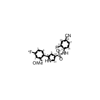 COc1cc(F)ccc1-c1cc(S(=O)(=O)Nc2ccc(C#N)cc2F)c[nH]1